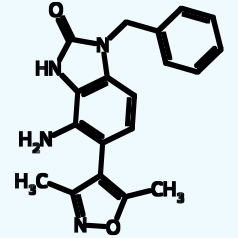 Cc1noc(C)c1-c1ccc2c([nH]c(=O)n2Cc2ccccc2)c1N